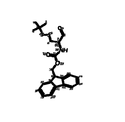 CC(C)(C)SSC[C@@H](C=O)NC(=O)OCC1c2ccccc2-c2ccccc21